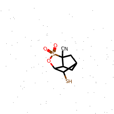 N#CC12CC3CC1C(OS2(=O)=O)C3S